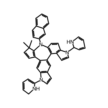 CC1(C)C=CC2=C1N(c1ccc3ccccc3c1)c1ccc3c(ccn3C3C=CC=CN3)c1-c1cc3ccn(C4=CC=CCN4)c3cc12